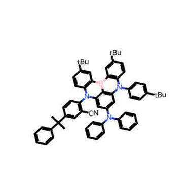 CC(C)(C)c1ccc(N2c3ccc(C(C)(C)C)cc3B3c4cc(C(C)(C)C)ccc4N(c4ccc(C(C)(C)c5ccccc5)cc4C#N)c4cc(N(c5ccccc5)c5ccccc5)cc2c43)cc1